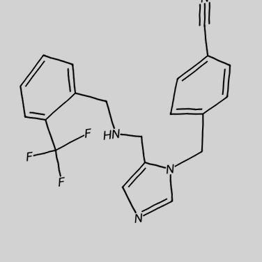 N#Cc1ccc(Cn2cncc2CNCc2ccccc2C(F)(F)F)cc1